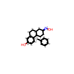 ON=C1CC[C@@]2(Cc3ccccc3)c3ccc(O)cc3CCC2C1